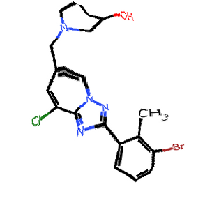 Cc1c(Br)cccc1-c1nc2c(Cl)cc(CN3CCC(O)C3)cn2n1